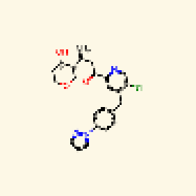 C=C(CC(=O)c1cc(Cc2ccc(-n3cccn3)cc2)c(Cl)cn1)[C@H]1COCC[C@@H]1O